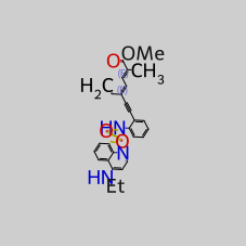 C=C/C(C#Cc1ccccc1NS(=O)(=O)c1cccc2c(NCC)ccnc12)=C\C=C(/C)C(=O)OC